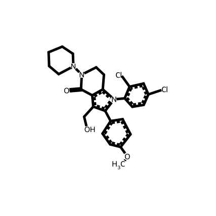 COc1ccc(-c2c(CO)c3c(n2-c2ccc(Cl)cc2Cl)CCN(N2CCCCC2)C3=O)cc1